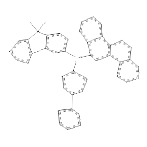 CC1(C)c2ccccc2-c2cc(N(c3ccc(-c4ccccc4)cc3)c3cc4c5ccccc5ccc4c4ccccc34)ccc21